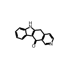 O=C1c2cnccc2Cc2[nH]c3ccccc3c21